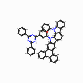 c1ccc(-c2nc(-c3ccccc3)nc(-c3cccc(-n4c5cc6c7ccccc7c7ccccc7c6cc5c5ccc6c7ccccc7n(-c7ccccc7)c6c54)c3)n2)cc1